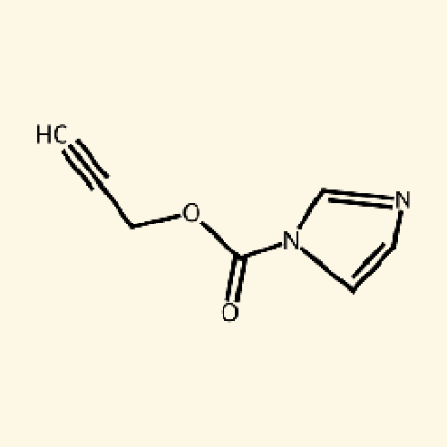 C#CCOC(=O)n1ccnc1